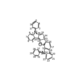 c1ccc(-n2c3ccccc3c3c4oc5c(ccc6c7ccccc7n(-c7ccccc7)c65)c4ccc32)cc#1